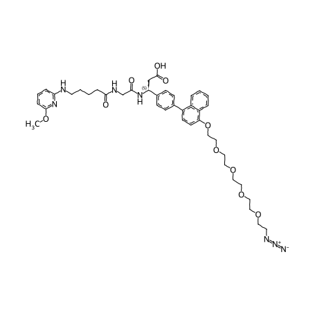 COc1cccc(NCCCCC(=O)NCC(=O)N[C@@H](CC(=O)O)c2ccc(-c3ccc(OCCOCCOCCOCCOCCN=[N+]=[N-])c4ccccc34)cc2)n1